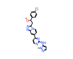 COC(Cc1nnc2cc(-c3ccnc(Nc4ccnn4C)n3)ccn12)c1ccc(Cl)cc1